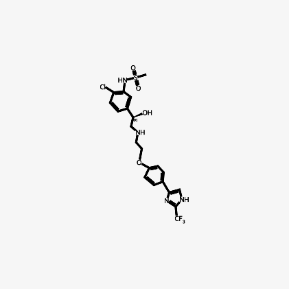 CS(=O)(=O)Nc1cc([C@@H](O)CNCCOc2ccc(-c3c[nH]c(C(F)(F)F)n3)cc2)ccc1Cl